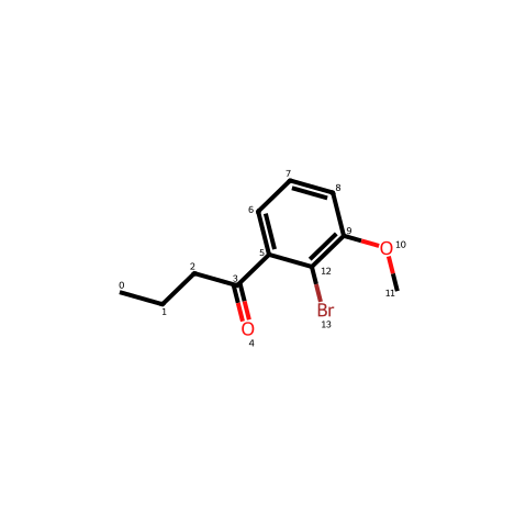 CCCC(=O)c1cccc(OC)c1Br